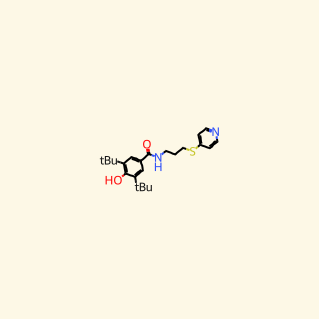 CC(C)(C)c1cc(C(=O)NCCCSc2ccncc2)cc(C(C)(C)C)c1O